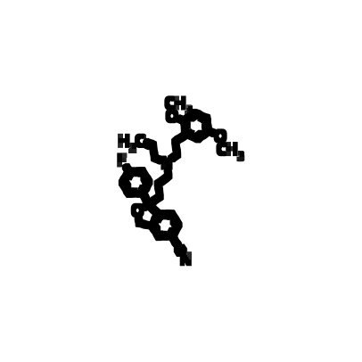 C=CCN(CCCC1(c2ccc(F)cc2)OCc2cc(C#N)ccc21)CCc1cc(OC)ccc1OC